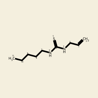 C=CCNC(=S)NCCCCC